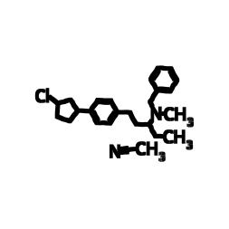 CC#N.CCC(CCc1ccc(C2CCC(Cl)C2)cc1)N(C)Cc1ccccc1